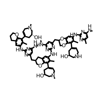 CNc1cc(CC2COc3c(cc(Nc4nc(CC5COc6c(cc(Nc7nc(C)cc(NC)n7)c(C)c6C6=CCNC[C@@H](O)C6)O5)cc(NC)n4)c(C)c3C3=CCN(C)C[C@@H](O)C3)C2)nc(Nc2cc3c(c(C4=CCN(C)C[C@H](O)C4)c2C)OCCC3)n1